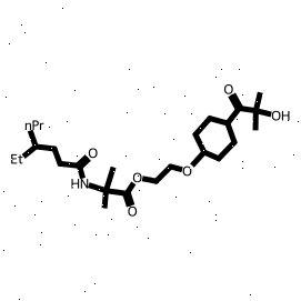 CCCC(CC)CCC(=O)NC(C)(C)C(=O)OCCOC1CCC(C(=O)C(C)(C)O)CC1